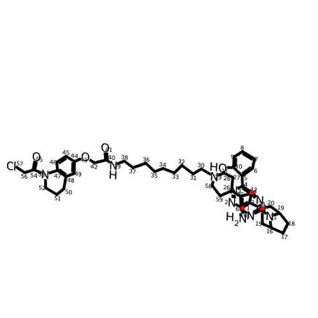 Nc1nnc(-c2ccccc2O)cc1N1CC2CCC(C1)N2c1ncc(C2CCN(CCCCCCCCCNC(=O)COc3ccc4c(c3)CCCN4C(=O)CCl)CC2)cn1